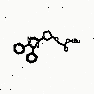 CC(C)(C)OC(=O)COC1CCN(c2cnc(-c3ccccc3)c(-c3ccccc3)n2)C1